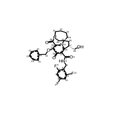 O=C(NCc1c(F)cc(F)cc1F)c1c2n3c(c(OCc4ccccc4)c1=O)C(=O)N1CCCC[C@]3(C[C@@H]2CO)C1